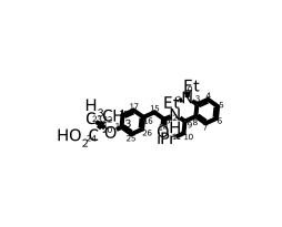 CCN(CC)c1ccccc1C(CC(C)C)NC(=O)Cc1ccc(OC(C)(C)C(=O)O)cc1